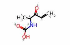 C=CC(=O)C(C)NC(=O)O